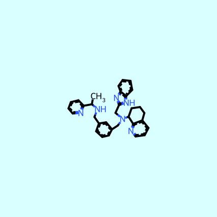 CC(NCc1cccc(CN(Cc2nc3ccccc3[nH]2)C2CCCc3cccnc32)c1)c1ccccn1